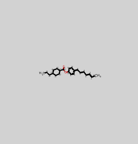 CCCCCCCc1ccc(OC(=O)C2CCC(CCC)CC2)cc1